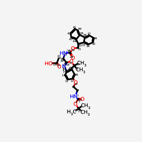 CC(C)(C)OC(=O)NCCOc1ccc(N=C(OC(C)(C)C)[C@H](CC(=O)O)NC(=O)OCC2c3ccccc3-c3ccccc32)cc1